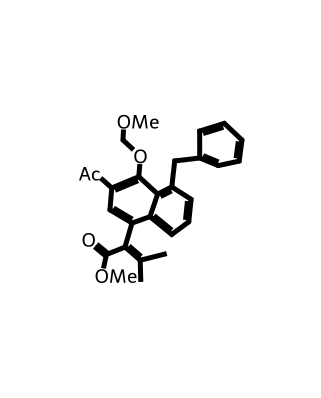 COCOc1c(C(C)=O)cc(C(C(=O)OC)=C(C)C)c2cccc(Cc3ccccc3)c12